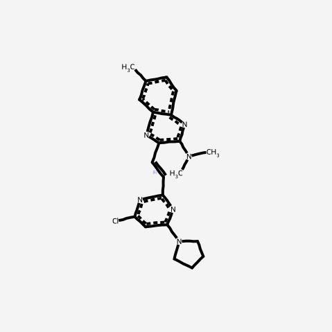 Cc1ccc2nc(N(C)C)c(/C=C/c3nc(Cl)cc(N4CCCC4)n3)nc2c1